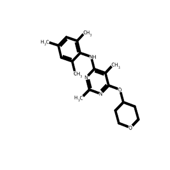 Cc1cc(C)c(Nc2nc(C)nc(OC3CCOCC3)c2C)c(C)c1